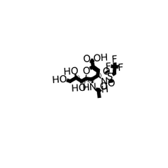 CC(=O)N[C@H]1[C@H]([C@H](O)[C@H](O)CO)OC(C(=O)O)=C[C@@H]1NS(=O)(=O)CC(F)(F)F